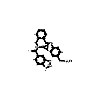 CCOC(=O)Cc1ccc(OCc2ccccc2CN(C(=O)c2ccc3c(c2)ONO3)C2CC2)cc1